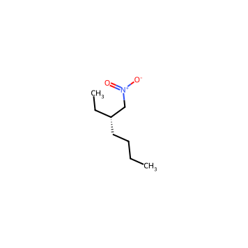 CCCC[C@H](CC)C[N+](=O)[O-]